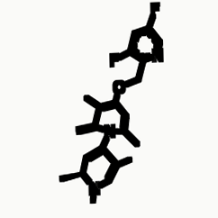 C=C1C(C)=C(OCc2ncc(F)cc2F)C=C(C)N1C1=C[C@H](C)N(C)C=C1C